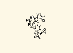 NCc1n[nH]c(=O)c2ccc(-c3cnn(C(F)F)c3N3Cc4c(Cl)cccc4C3=O)cc12